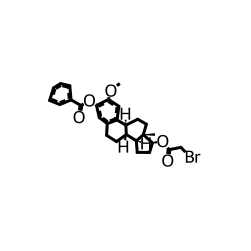 COc1cc2c(cc1OC(=O)c1ccccc1)CC[C@@H]1[C@@H]2CC[C@]2(C)[C@@H](OC(=O)CBr)CC[C@@H]12